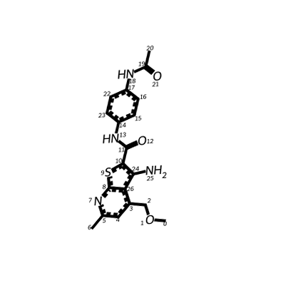 COCc1cc(C)nc2sc(C(=O)Nc3ccc(NC(C)=O)cc3)c(N)c12